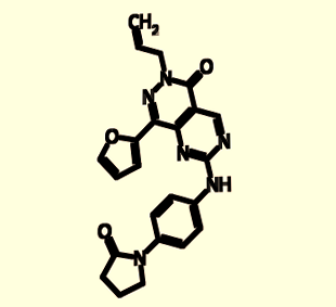 C=CCn1nc(-c2ccco2)c2nc(Nc3ccc(N4CCCC4=O)cc3)ncc2c1=O